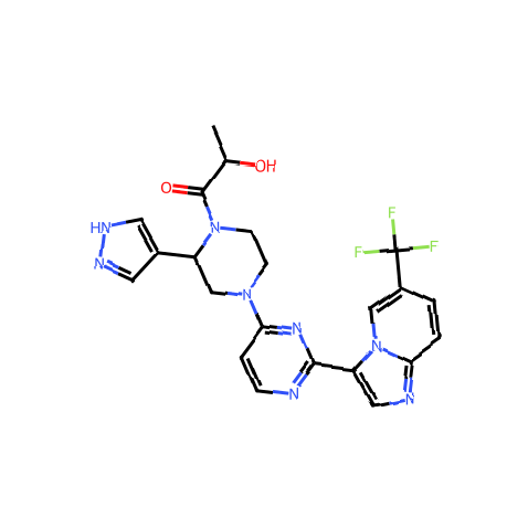 CC(O)C(=O)N1CCN(c2ccnc(-c3cnc4ccc(C(F)(F)F)cn34)n2)CC1c1cn[nH]c1